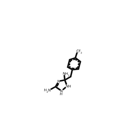 NC1=NC(N)(Cc2ccc(C(F)(F)F)cc2)NN1